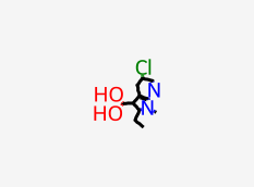 CCC1C(C(O)O)C2=C(N=CC(Cl)C2)N1C